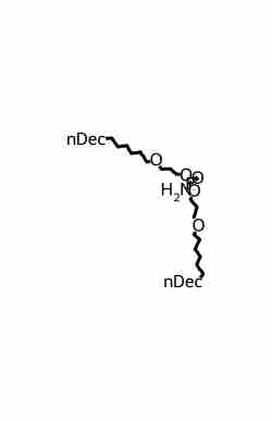 CCCCCCCCCCCCCCCCOCCCOP(N)(=O)OCCCOCCCCCCCCCCCCCCCC